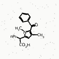 CCCC(C(=O)O)c1cc(C)c(C(=O)c2ccccc2)n1C